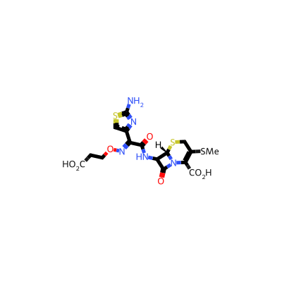 CSC1=C(C(=O)O)N2C(=O)C(NC(=O)C(=NOCCC(=O)O)c3csc(N)n3)[C@@H]2SC1